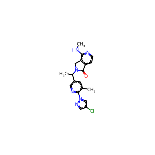 CNc1nccc2c1CN(C(C)c1cnc(-n3cc(Cl)cn3)c(C)c1)C2=O